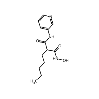 CCCCCC(C(=O)NO)C(=O)Nc1cccnc1